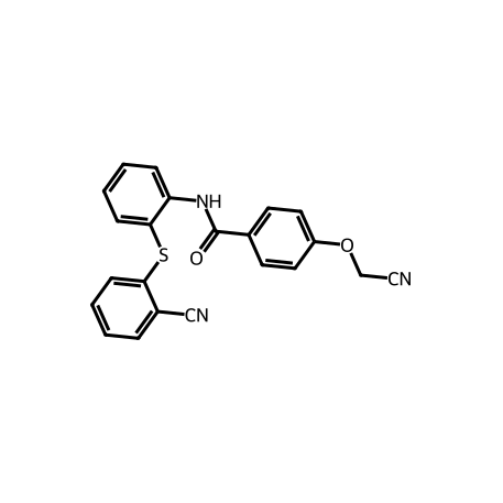 N#CCOc1ccc(C(=O)Nc2ccccc2Sc2ccccc2C#N)cc1